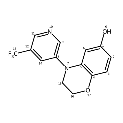 Oc1ccc2c(c1)N(c1cncc(C(F)(F)F)c1)CCO2